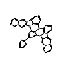 c1ccc(-c2cc3c4c(c2)-n2c5cc6ccccc6cc5c5cccc(c52)B4c2cccc4c5cc6ccccc6cc5n-3c24)cc1